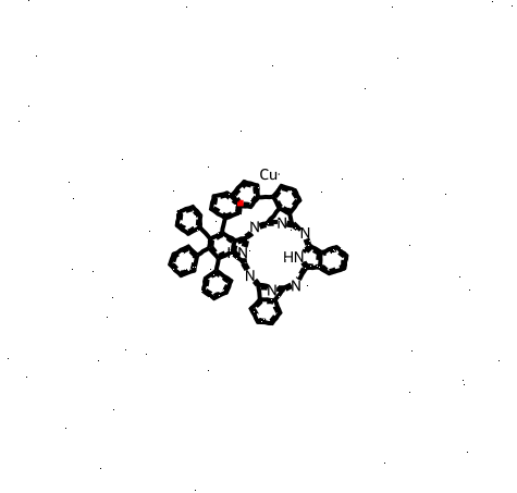 [Cu].c1ccc(-c2cccc3c2-c2nc-3nc3[nH]c(nc4nc(nc5[nH]c(n2)c2c(-c6ccccc6)c(-c6ccccc6)c(-c6ccccc6)c(-c6ccccc6)c52)-c2ccccc2-4)c2ccccc32)cc1